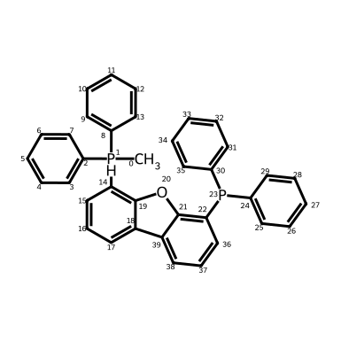 C[PH](c1ccccc1)(c1ccccc1)c1cccc2c1oc1c(P(c3ccccc3)c3ccccc3)cccc12